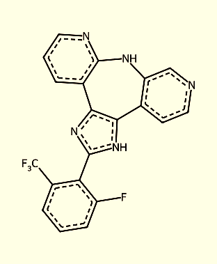 Fc1cccc(C(F)(F)F)c1-c1nc2c([nH]1)-c1ccncc1Nc1ncccc1-2